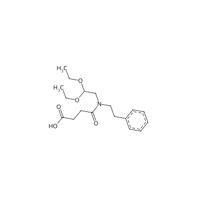 CCOC(CN(CCc1ccccc1)C(=O)CCC(=O)O)OCC